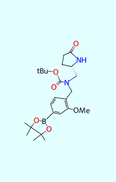 COc1cc(B2OC(C)(C)C(C)(C)O2)ccc1CN(C[C@@H]1CCC(=O)N1)C(=O)OC(C)(C)C